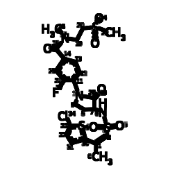 CC(=CS(=O)(=O)NC1CCN(c2ccc(C(=O)N(C)CCS(C)(=O)=O)cc2F)C1=O)c1ccc(Cl)s1